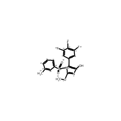 COc1nc(O)c(-c2cc(F)c(F)c(F)c2)n1S(=O)(=O)c1cccc(C)c1